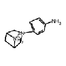 CN1C2CC1CN(c1ccc(N)cc1)C2